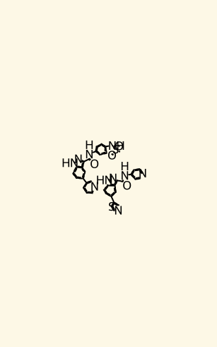 CS(=O)(=O)Nc1ccc(NC(=O)c2n[nH]c3ccc(-c4cccnc4)cc23)cc1.O=C(Nc1ccncc1)c1n[nH]c2ccc(-c3cncs3)cc12